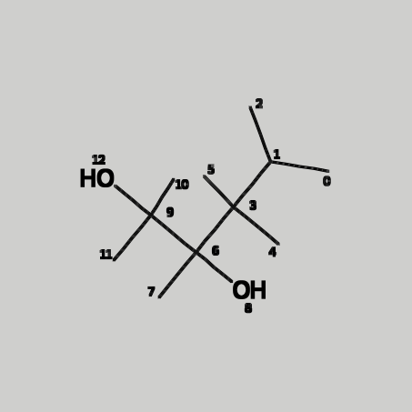 CC(C)C(C)(C)C(C)(O)C(C)(C)O